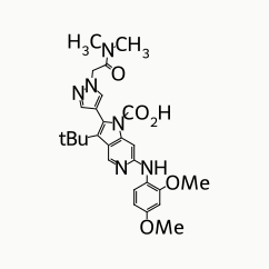 COc1ccc(Nc2cc3c(cn2)c(C(C)(C)C)c(-c2cnn(CC(=O)N(C)C)c2)n3C(=O)O)c(OC)c1